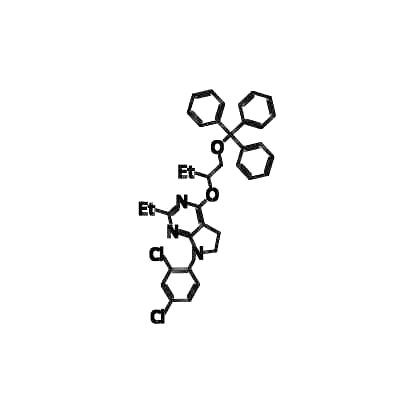 CCc1nc(OC(CC)COC(c2ccccc2)(c2ccccc2)c2ccccc2)c2c(n1)N(c1ccc(Cl)cc1Cl)CC2